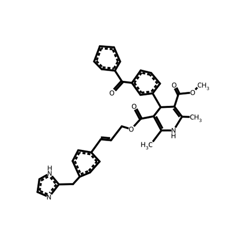 COC(=O)C1=C(C)NC(C)=C(C(=O)OCC=Cc2ccc(Cc3ncc[nH]3)cc2)C1c1cccc(C(=O)c2ccccc2)c1